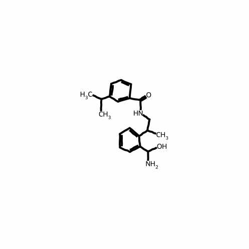 CC(C)c1cccc(C(=O)NCC(C)c2ccccc2C(N)O)c1